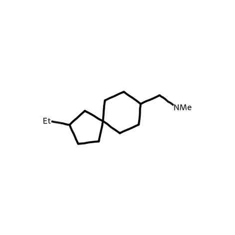 CCC1CCC2(CCC(CNC)CC2)C1